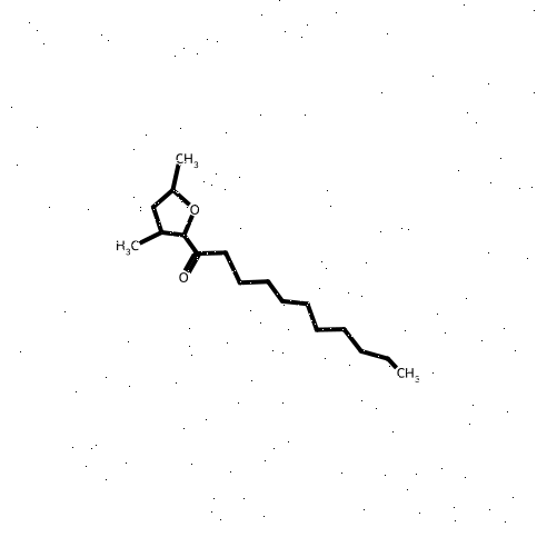 CCCCCCCCCCC(=O)C1OC(C)CC1C